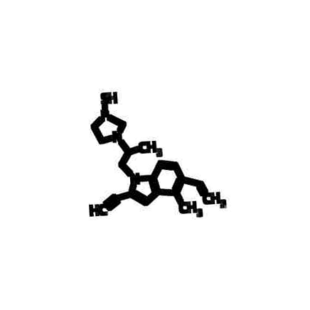 C#Cc1cc2c(C)c(C=C)ccc2n1CC(C)N1CCP(S)C1